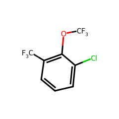 FC(F)(F)Oc1c(Cl)cccc1C(F)(F)F